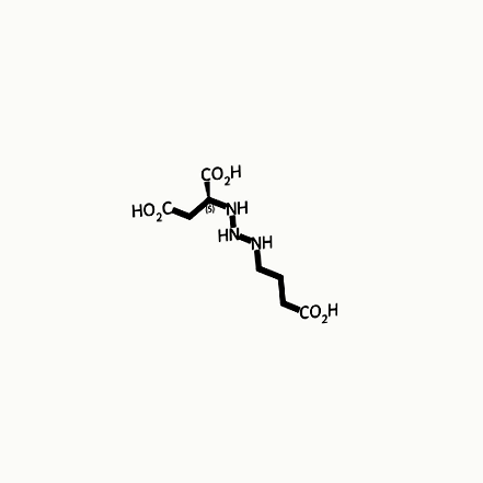 O=C(O)CCCNNN[C@@H](CC(=O)O)C(=O)O